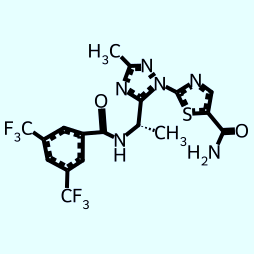 Cc1nc([C@H](C)NC(=O)c2cc(C(F)(F)F)cc(C(F)(F)F)c2)n(-c2ncc(C(N)=O)s2)n1